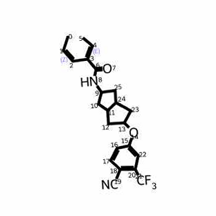 C/C=C\C(=C/C)C(=O)NC1CC2CC(Oc3ccc(C#N)c(C(F)(F)F)c3)CC2C1